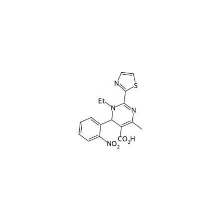 CCN1C(c2nccs2)=NC(C)=C(C(=O)O)C1c1ccccc1[N+](=O)[O-]